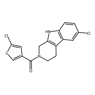 O=C(c1csc(Cl)c1)N1CCc2c([nH]c3ccc(Cl)cc23)C1